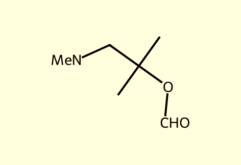 CNCC(C)(C)OC=O